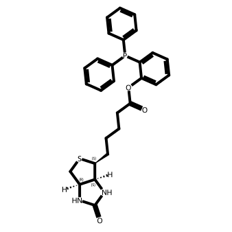 O=C1N[C@H]2[C@H](CS[C@H]2CCCCC(=O)Oc2ccccc2P(c2ccccc2)c2ccccc2)N1